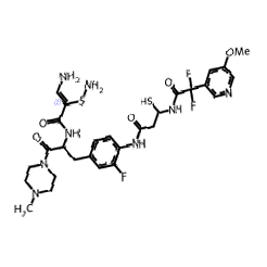 COc1cncc(C(F)(F)C(=O)NC(S)CC(=O)Nc2ccc(CC(NC(=O)/C(=C/N)SN)C(=O)N3CCN(C)CC3)cc2F)c1